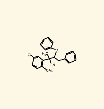 CC(=O)Oc1ccc(Cl)cc1C(C)(C#N)C(Cc1ccccc1)Oc1ccccc1